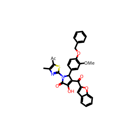 COc1cc(C2C(C(=O)c3cc4ccccc4o3)=C(O)C(=O)N2c2nc(C)c(C(C)=O)s2)ccc1OCc1ccccc1